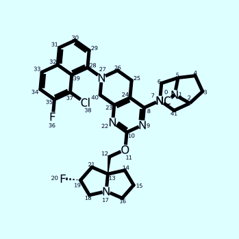 N#CN1C2CCC1CN(c1nc(OC[C@@]34CCCN3C[C@H](F)C4)nc3c1CCN(c1cccc4ccc(F)c(Cl)c14)C3)C2